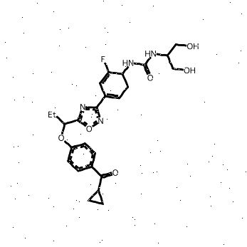 CCC(Oc1ccc(C(=O)C2CC2)cc1)c1nc(C2=CCC(NC(=O)NC(CO)CO)C(F)=C2)no1